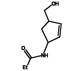 CCC(=O)NC1C=CC(CO)C1